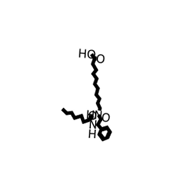 CCCCCCC(=O)N[C@@H](C(=O)NCCCCCCCCCCC(=O)O)c1ccccc1